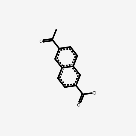 CC(=O)c1ccc2cc(C(=O)Cl)ccc2c1